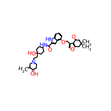 C[C@H]1CN(CCC2(O)CCC(NC(=O)c3cc4c(OCc5coc6c5C(=O)CC(C)(C)C6)cccc4[nH]3)CC2)CC[C@@H]1O